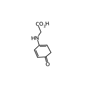 O=C(O)CNC1=CCC(=O)C=C1